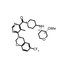 CO[C@@H]1COCC[C@@H]1NC1CCN(C(=O)c2ncnc(N3COc4ccc(C(F)(F)F)cc4C3)c2C)CC1